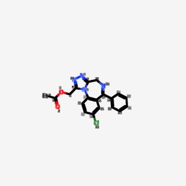 CCC(=O)OCc1nnc2n1-c1ccc(Cl)cc1C(c1ccccc1)=NC2